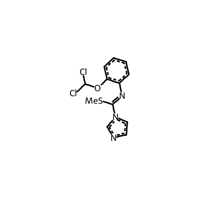 CSC(=Nc1ccccc1OC(Cl)Cl)n1ccnc1